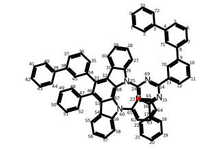 c1ccc(-c2cccc(-c3cccc(-c4nc(-c5ccccc5)nc(-n5c6ccccc6c6c(-c7cccc(-c8ccccc8)c7)c(-c7ccccc7)c7c8ccccc8n(-c8ccccc8)c7c65)n4)c3)c2)cc1